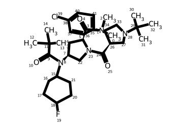 CN(C)C(=O)[C@@H]1C[C@H](N(C(=O)C(C)(C)C)C2CCC(F)CC2)CN1C(=O)[C@@H]1CN(C(C)(C)C)C[C@H]1c1ccc(Cl)cc1